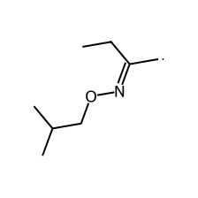 [CH2]C(CC)=NOCC(C)C